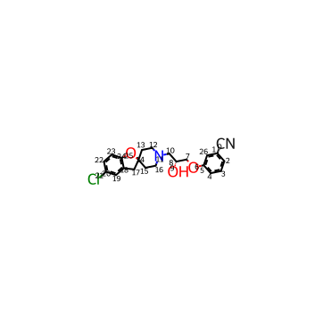 N#Cc1cccc(OC[C@H](O)CN2CCC3(CC2)Cc2cc(Cl)ccc2O3)c1